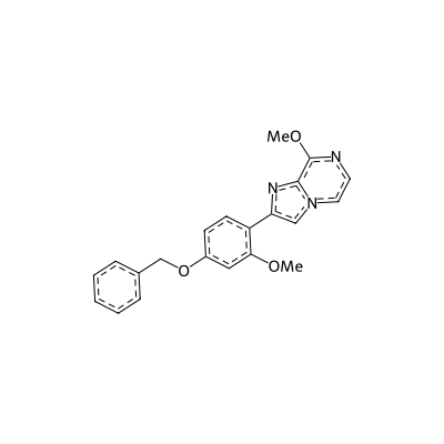 COc1cc(OCc2ccccc2)ccc1-c1cn2ccnc(OC)c2n1